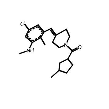 CNc1cc(Cl)cc(C=C2CCN(C(=O)C3CCC(C)C3)CC2)c1C